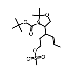 CC=CC(CCOS(C)(=O)=O)C1COC(C)(C)N1C(=O)OC(C)(C)C